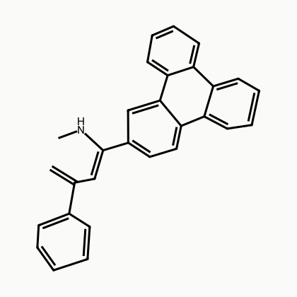 C=C(/C=C(\NC)c1ccc2c3ccccc3c3ccccc3c2c1)c1ccccc1